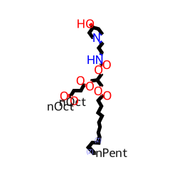 CCCCC/C=C\C/C=C\CCCCCCCC(=O)OCC(COC(=O)CCC(OCCCCCCCC)OCCCCCCCC)COC(=O)NCCCN1CCC(O)CC1